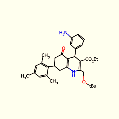 CCOC(=O)C1=C(COC(C)(C)C)NC2=C(C(=O)CC(c3c(C)cc(C)cc3C)C2)C1c1cccc(N)c1